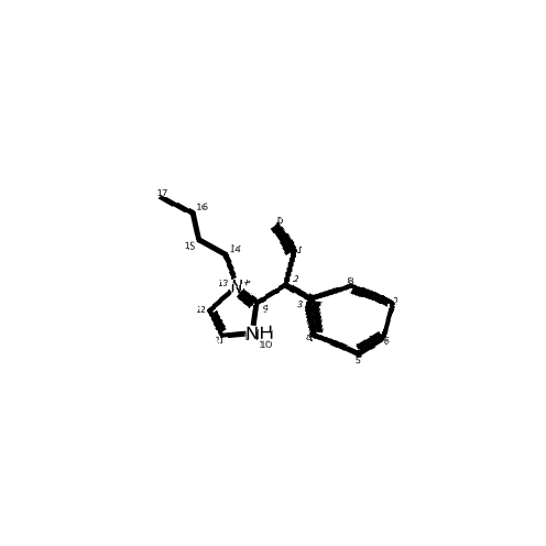 C=CC(c1ccccc1)c1[nH]cc[n+]1CCCC